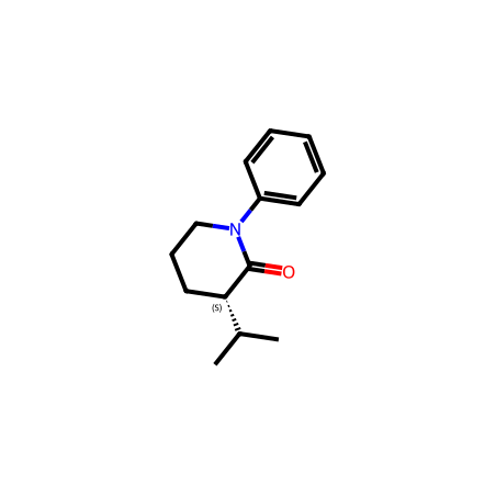 CC(C)[C@@H]1CCCN(c2ccccc2)C1=O